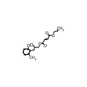 C=CCOC(=O)C=CC(=O)OCC(Cl)Cc1c(C)cccc1Cl